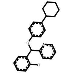 Clc1ccccc1C(Oc1ccc(C2[CH]CCCC2)cc1)c1ccccn1